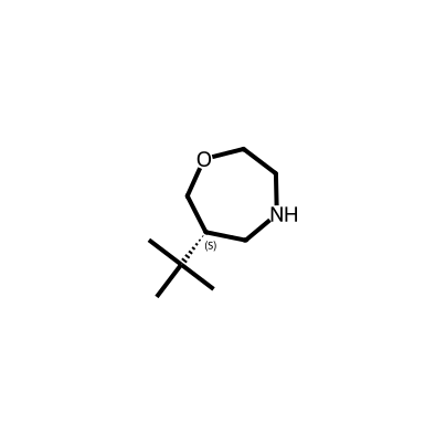 CC(C)(C)[C@H]1CNCCOC1